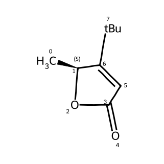 C[C@@H]1OC(=O)C=C1C(C)(C)C